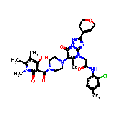 CCc1c(N2CCN(C(=O)c3c(O)c(C)c(C)n(C)c3=O)CC2)c(=O)n2nc(C3=CCOCC3)nc2n1CC(=O)Nc1ccc(C(F)(F)F)cc1Cl